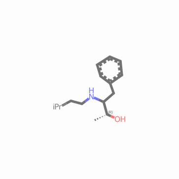 CC(C)CCN[C](Cc1ccccc1)[C@@H](C)O